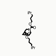 CC(C)CCCOC(=O)N1CCC2CC2(C(=O)OCCCC(C)C)C1